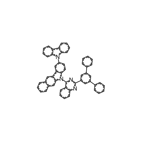 c1ccc(-c2cc(-c3ccccc3)cc(-c3nc(-n4c5ccc(-n6c7ccccc7c7ccccc76)cc5c5cc6ccccc6cc54)c4ccccc4n3)c2)cc1